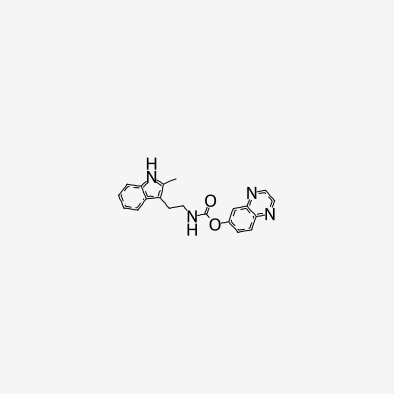 Cc1[nH]c2ccccc2c1CCNC(=O)Oc1ccc2nccnc2c1